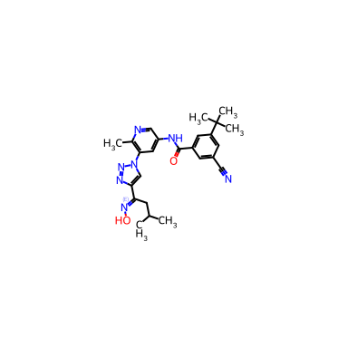 Cc1ncc(NC(=O)c2cc(C#N)cc(C(C)(C)C)c2)cc1-n1cc(/C(CC(C)C)=N/O)nn1